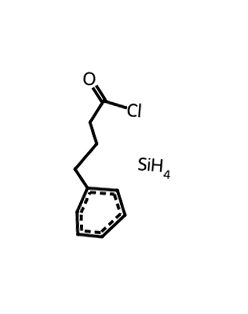 O=C(Cl)CCCc1ccccc1.[SiH4]